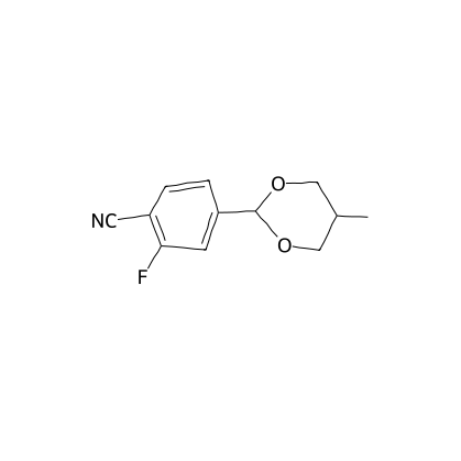 CC1COC(c2ccc(C#N)c(F)c2)OC1